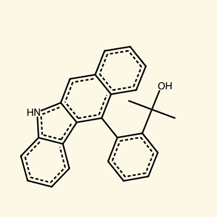 CC(C)(O)c1ccccc1-c1c2ccccc2cc2[nH]c3ccccc3c12